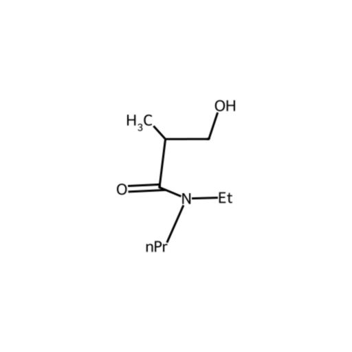 CCCN(CC)C(=O)C(C)CO